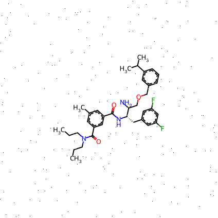 CCCN(CCC)C(=O)c1cc(C)cc(C(=O)N[C@@H](Cc2cc(F)cc(F)c2)C(N)COCc2cccc(C(C)C)c2)c1